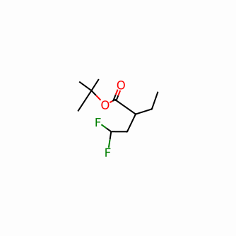 CCC(CC(F)F)C(=O)OC(C)(C)C